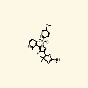 CNC(=O)OC(c1cn(S(=O)(=O)c2ccc(OC)cn2)c(-c2cccnc2F)c1F)C(C)(C)C